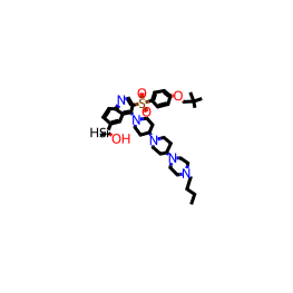 CCCCN1CCN(C2CCN(C3CCN(c4c(S(=O)(=O)c5ccc(OCC(C)(C)C)cc5)cnc5ccc([SiH](C)O)cc45)CC3)CC2)CC1